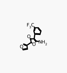 NC1=C(c2cccc(C(F)(F)F)c2)C(=O)C(c2ccoc2)O1